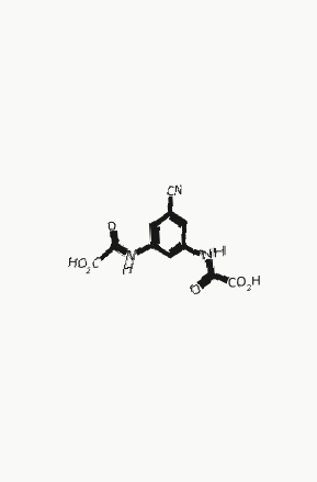 N#Cc1cc(NC(=O)C(=O)O)cc(NC(=O)C(=O)O)c1